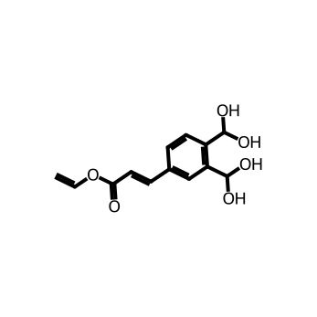 C=COC(=O)/C=C/c1ccc(C(O)O)c(C(O)O)c1